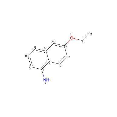 CCOc1ccc2c([NH])cccc2c1